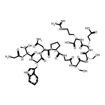 C[C@@H](O)[C@H](NC(=O)CN)C(=O)N[C@@H](Cc1c[nH]c2ccccc12)C(=O)N[C@@H](CC(N)=O)C(=O)N1CCC[C@H]1C(=O)NCC(=O)N[C@@H](CO)C(=O)N[C@@H](CO)C(=O)N[C@@H](CCC(=O)O)C(=O)N[C@@H](CCCNC(=N)N)C(=O)O